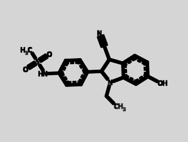 CCN1c2cc(O)ccc2C(C#N)C1c1ccc(NS(C)(=O)=O)cc1